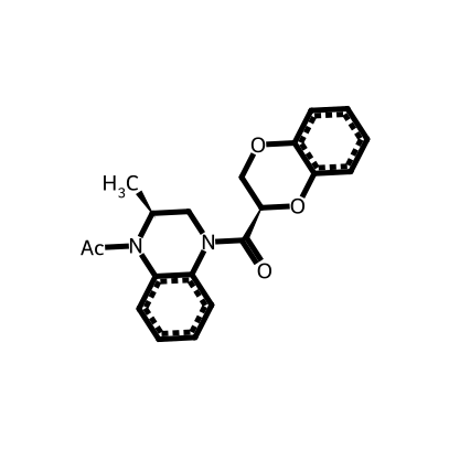 CC(=O)N1c2ccccc2N(C(=O)[C@H]2COc3ccccc3O2)C[C@@H]1C